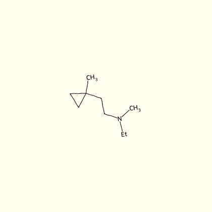 CCN(C)CCC1(C)CC1